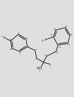 CC(O)(CCc1ccc(F)cc1)CCc1ccccc1I